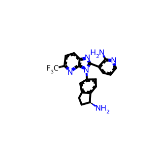 Nc1ncccc1-c1nc2ccc(C(F)(F)F)nc2n1-c1ccc2c(c1)CC[C@@H]2N